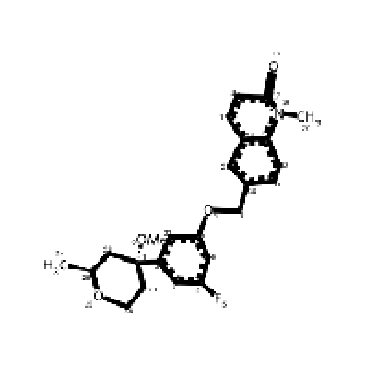 CO[C@]1(c2cc(F)cc(OCc3ccc4c(ccc(=O)n4C)c3)c2)CCO[C@@H](C)C1